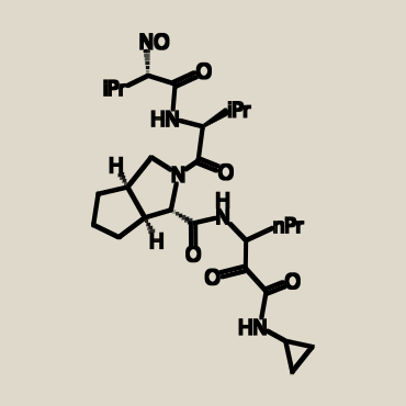 CCCC(NC(=O)[C@@H]1[C@H]2CCC[C@H]2CN1C(=O)[C@@H](NC(=O)[C@@H](N=O)C(C)C)C(C)C)C(=O)C(=O)NC1CC1